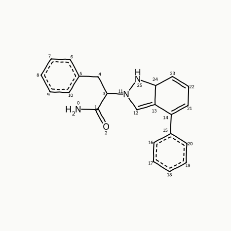 NC(=O)C(Cc1ccccc1)N1C=C2C(c3ccccc3)=CC=CC2N1